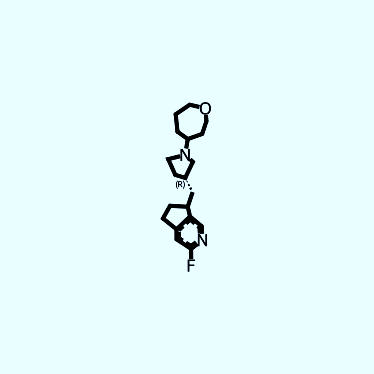 Fc1cc2c(cn1)C(C[C@@H]1CCN(C3CCCOCC3)C1)CC2